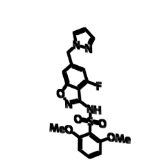 COc1cccc(OC)c1S(=O)(=O)Nc1noc2cc(Cn3cccn3)cc(F)c12